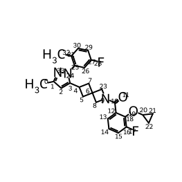 Cc1cc(C2CC3(C2)CN(C(=O)c2cccc(F)c2OC2CC2)C3)n(-c2cc(F)ccc2C)n1